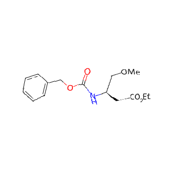 CCOC(=O)C[C@H](COC)NC(=O)OCc1ccccc1